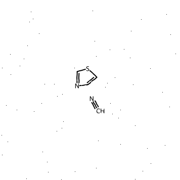 C#N.c1cscn1